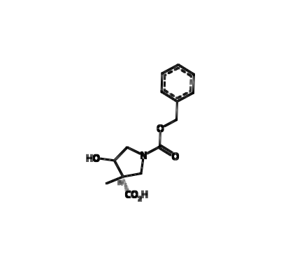 C[C@]1(C(=O)O)CN(C(=O)OCc2ccccc2)CC1O